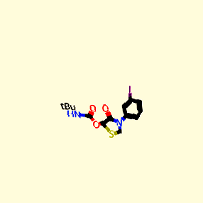 CC(C)(C)NC(=O)OC1SCN(c2cccc(I)c2)C1=O